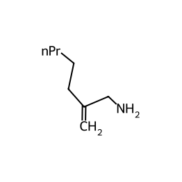 C=C(CN)CCCCC